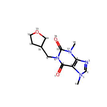 Cn1cnc2c1c(=O)n(CC1CCOC1)c(=O)n2C